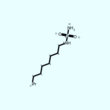 CC(C)CCCCCCCNS(N)(=O)=O